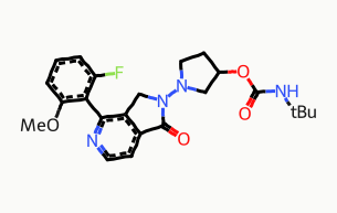 COc1cccc(F)c1-c1nccc2c1CN(N1CCC(OC(=O)NC(C)(C)C)C1)C2=O